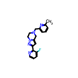 Cc1cccc(CN2CCn3nc(-c4ncccc4F)cc3C2)n1